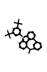 CC1c2cccc(c2)-c2cccc3c2c2c1cccc2n3-c1cc(C(C)(C)C)cc(C(C)(C)C)c1